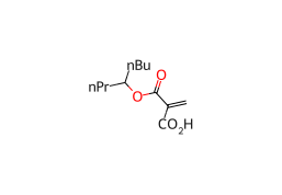 C=C(C(=O)O)C(=O)OC(CCC)CCCC